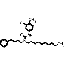 CCCCCCCCCCN(CCCCc1ccccc1)C(=O)Nc1ccc(C)c(Cl)c1